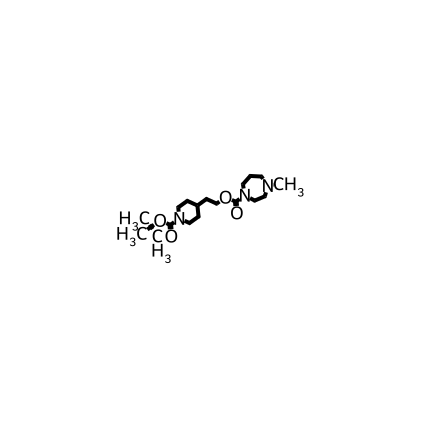 CN1CCCN(C(=O)OCCC2CCN(C(=O)OC(C)(C)C)CC2)CC1